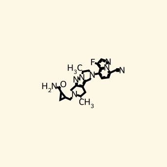 C[C@@H]1CN(c2ccc(C#N)n3ncc(F)c23)Cc2c3c(nn21)CN(CC1CC1C(N)=O)[C@@H](C)C3